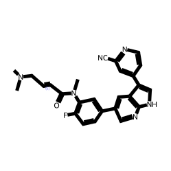 CN(C)C/C=C/C(=O)N(C)c1cc(-c2cnc3[nH]cc(-c4ccnc(C#N)c4)c3c2)ccc1F